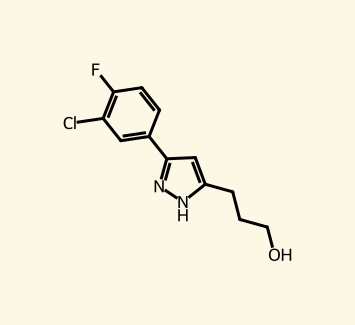 OCCCc1cc(-c2ccc(F)c(Cl)c2)n[nH]1